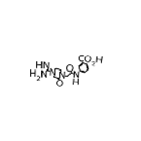 N=C(N)N1CCN(CC(=O)Nc2cccc(C(=O)O)c2)C(=O)C1